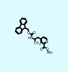 CC(C)(C)OC(=O)c1cc(CC(NC(=O)OCC2c3ccccc3-c3ccccc32)C(=O)O)ccn1